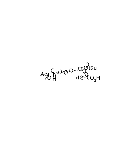 C=CC(=O)N(CCC(=O)NCCOCCOCCOCCCc1ccc(COC(=O)C(C)(C)C)c(OC2CC(O)C[C@@H](C(=O)O)O2)c1)C(C)=O